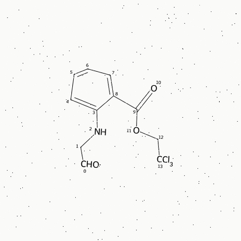 O=[C]CNc1ccccc1C(=O)OCC(Cl)(Cl)Cl